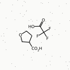 O=C(O)C(F)(F)F.O=C(O)C1CCOC1